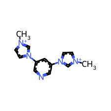 C[n+]1ccn(-c2cncc(-n3cc[n+](C)c3)c2)c1